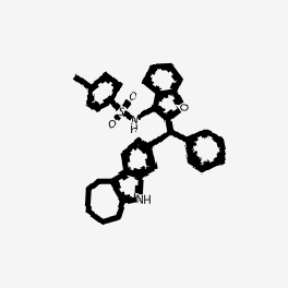 Cc1ccc(S(=O)(=O)Nc2c(C(c3ccccc3)c3ccc4c5c([nH]c4c3)CCCCC5)oc3ccccc23)cc1